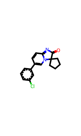 O=C1N=C2C=CC(c3cccc(Cl)c3)=CN2C12CCCC2